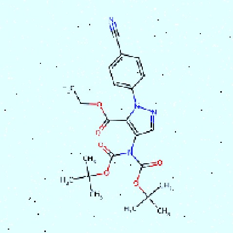 CCOC(=O)c1c(N(C(=O)OC(C)(C)C)C(=O)OC(C)(C)C)cnn1-c1ccc(C#N)cc1